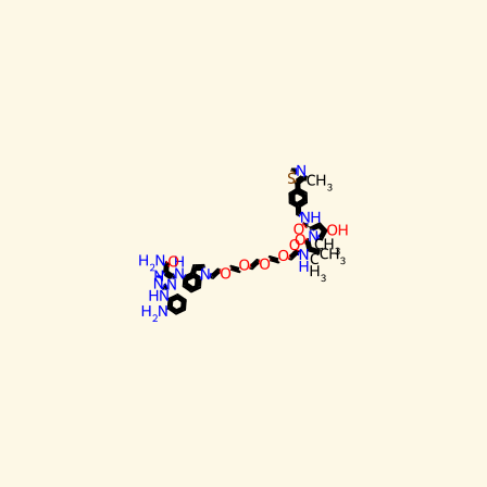 Cc1ncsc1-c1ccc(CNC(=O)[C@@H]2C[C@@H](O)CN2C(=O)[C@@H](NC(=O)COCCOCCOCCOCCn2ccc3c(Nc4nc(N[C@@H]5CCCC[C@@H]5N)nnc4C(N)=O)cccc32)C(C)(C)C)cc1